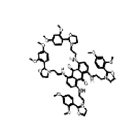 COc1ccc(C2OCCN2CCNc2ccc(NCCN3CCOC3c3ccc(OC)cc3OC)c3c2C(=O)c2c(NCCN4CCOC4c4ccc(OC)cc4OC)ccc(NCCN4CCOC4c4ccc(OC)cc4OC)c2C3=O)c(OC)c1